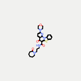 O=C(NCCCN1CCCCCC1=O)c1c(=O)c2ccc(N3CCOCC3)nc2n2c1sc1ccccc12